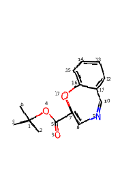 CC(C)(C)OC(=O)C1=CN=Cc2ccccc2O1